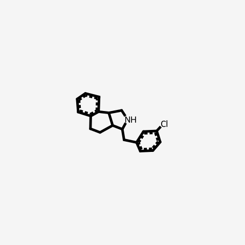 Clc1cccc(CC2NCC3c4ccccc4CCC23)c1